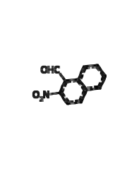 O=Cc1c([N+](=O)[O-])ccc2ccccc12